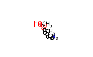 CC(CO)(CO)C(=O)OC1CCC2(C)C(=CCC3C4=CC=C(c5cccnc5)C4(C)CCC32)C1